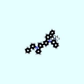 CC1(C)c2ccccc2-c2ccc3c4cc(-c5ccc6c(c5)c5ccccc5n6-c5cccc(-c6ccccc6)c5)ccc4n(-c4ccc5ccccc5c4)c3c21